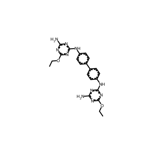 CCOc1nc(N)nc(Nc2ccc(-c3ccc(Nc4nc(N)nc(OCC)n4)cc3)cc2)n1